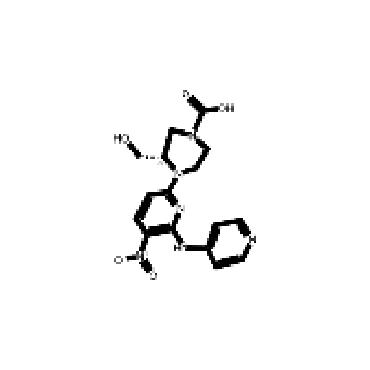 O=C(O)N1CCN(c2ccc([N+](=O)[O-])c(Nc3ccncc3)n2)[C@H](CO)C1